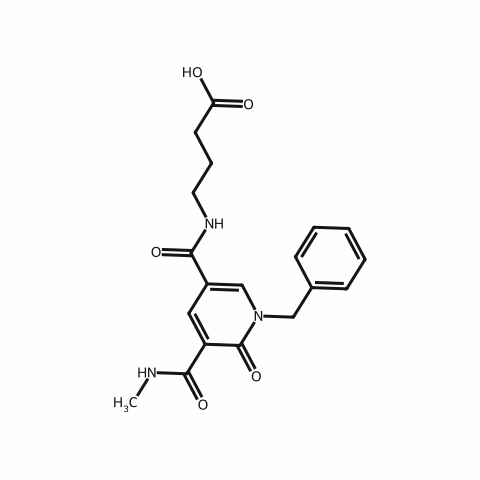 CNC(=O)c1cc(C(=O)NCCCC(=O)O)cn(Cc2ccccc2)c1=O